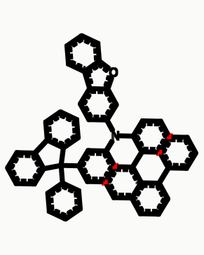 c1ccc(-c2cccc3cccc(-c4ccccc4N(c4cccc(C5(c6ccccc6)c6ccccc6-c6ccccc65)c4)c4ccc5c(c4)oc4ccccc45)c23)cc1